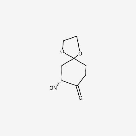 O=N[C@@H]1CC2(CCC1=O)OCCO2